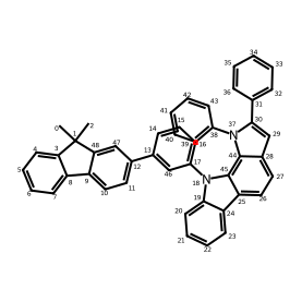 CC1(C)c2ccccc2-c2ccc(-c3cccc(-n4c5ccccc5c5ccc6cc(-c7ccccc7)n(-c7ccccc7)c6c54)c3)cc21